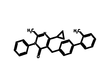 Cc1ccccc1-c1ccc(Cc2c(C3CC3)nc(C)n(-c3ccccc3)c2=O)cc1